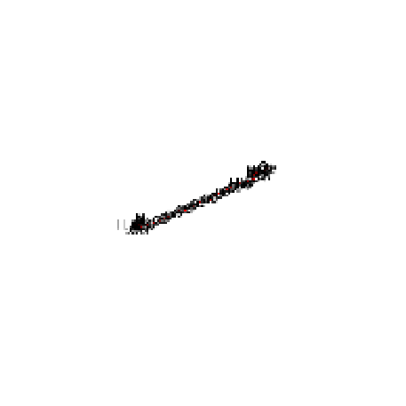 CN1C(=O)C[C@H](C(=O)NCCOCCOCCOCCOCCOCCOCCOCCOCCOCCOCCOCCOCCOCCOCCOCCNC(=O)COc2ccc3c(C(=O)NCC(=O)N4CCC[C@H]4C#N)ccnc3c2)[C@H]1c1cccnc1